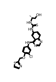 C[C@H](CO)NC(=S)Nc1ccc2ncnc(Nc3ccc(OCc4nccs4)c(Cl)c3)c2c1